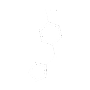 CCOC(=O)c1ccc(Oc2ccco2)cc1